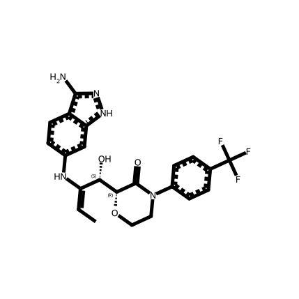 CC=C(Nc1ccc2c(N)n[nH]c2c1)[C@H](O)[C@H]1OCCN(c2ccc(C(F)(F)F)cc2)C1=O